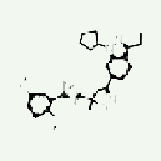 CCc1nn(C2CCCC2)c2cc(C3=NOC(C)(c4nc(-c5cc(OC)ccc5OC)no4)C3)ccc12